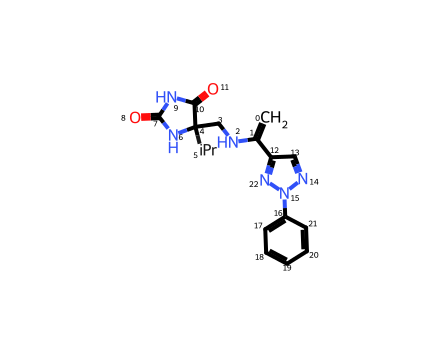 C=C(NCC1(C(C)C)NC(=O)NC1=O)c1cnn(-c2ccccc2)n1